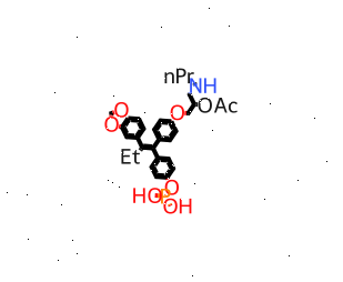 CCCNCC(COc1ccc(/C(=C(/CC)c2ccc3c(c2)OCO3)c2ccc(OP(O)O)cc2)cc1)OC(C)=O